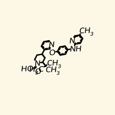 Cc1ccc(Nc2ccc(Oc3ncccc3C3CCN(C(=O)O)C(C(C)(C)C)C3)cc2)nc1